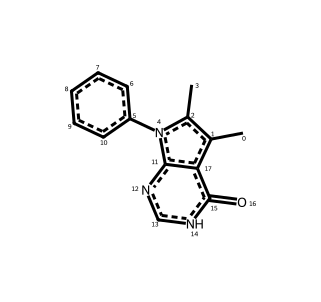 Cc1c(C)n(-c2ccccc2)c2nc[nH]c(=O)c12